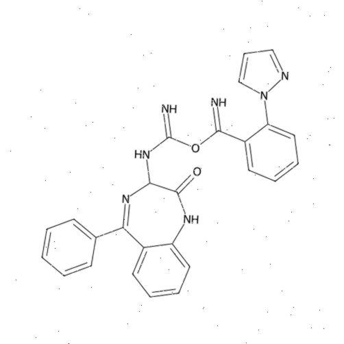 N=C(NC1N=C(c2ccccc2)c2ccccc2NC1=O)OC(=N)c1ccccc1-n1cccn1